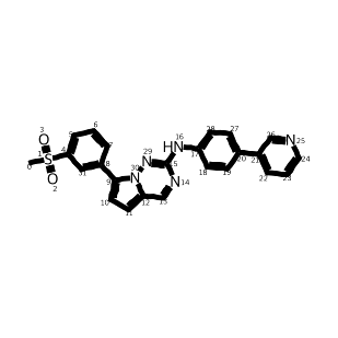 CS(=O)(=O)c1cccc(-c2ccc3cnc(Nc4ccc(-c5cccnc5)cc4)nn23)c1